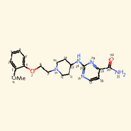 COc1ccccc1OCCN1CCC(Nc2nccc(C(N)=O)n2)CC1